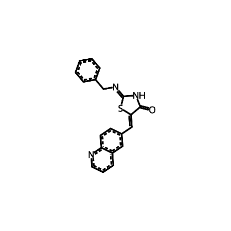 O=C1N/C(=N/Cc2ccccc2)S/C1=C\c1ccc2ncccc2c1